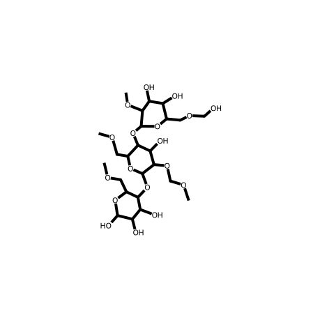 COCOC1C(OC2C(COC)OC(O)C(O)C2O)OC(COC)C(OC2OC(COCO)C(O)C(O)C2OC)C1O